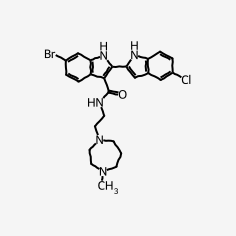 CN1CCCN(CCNC(=O)c2c(-c3cc4cc(Cl)ccc4[nH]3)[nH]c3cc(Br)ccc23)CC1